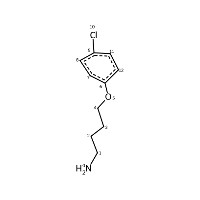 NCCCCOc1ccc(Cl)cc1